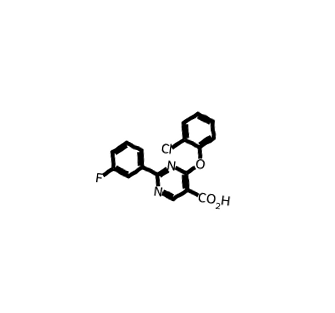 O=C(O)c1cnc(-c2cccc(F)c2)nc1Oc1ccccc1Cl